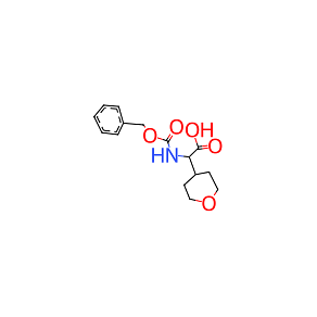 O=C(NC(C(=O)O)C1CCOCC1)OCc1ccccc1